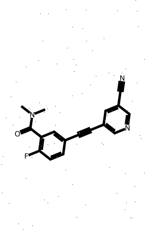 CN(C)C(=O)c1cc(C#Cc2cncc(C#N)c2)ccc1F